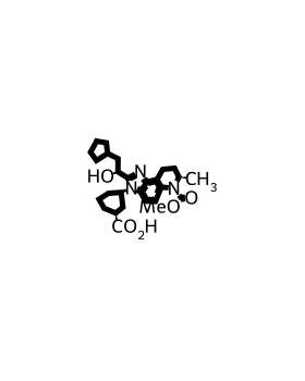 COC(=O)N1c2ccc3c(nc([C@H](O)CC4CCCC4)n3[C@@H]3CCC[C@@H](C(=O)O)C3)c2CC[C@@H]1C